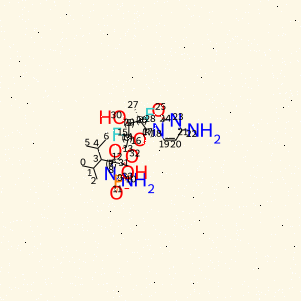 CC(C)C(C(C)C)[C@@](N=[P+](N)[O-])(OC[C@@]1(F)O[C@@H](n2ccc(N)nc2=O)[C@](C)(F)[C@@H]1O)C(=O)O